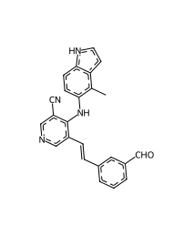 Cc1c(Nc2c(C#N)cncc2/C=C/c2cccc(C=O)c2)ccc2[nH]ccc12